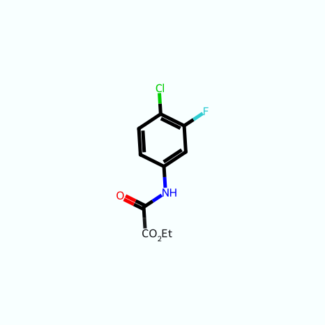 CCOC(=O)C(=O)Nc1ccc(Cl)c(F)c1